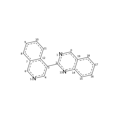 [c]1nc(-c2cncc3ccccc23)nc2ccccc12